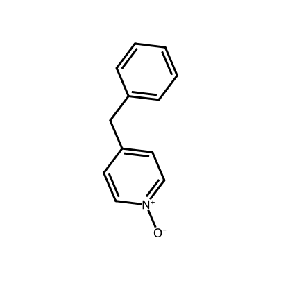 [O-][n+]1ccc(Cc2ccccc2)cc1